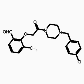 Cc1cccc(C=O)c1OCC(=O)N1CCN(Cc2ccc(Cl)cc2)CC1